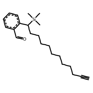 C#CCCCCCCCCCC(c1ccccc1C=O)[Si](C)(C)C